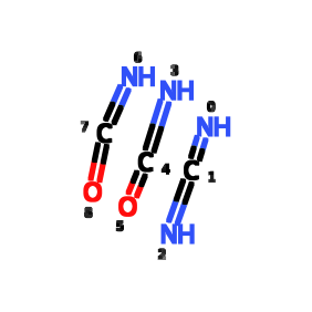 N=C=N.N=C=O.N=C=O